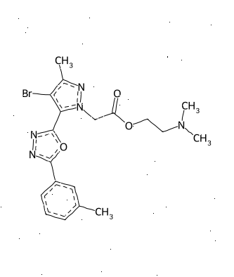 Cc1cccc(-c2nnc(-c3c(Br)c(C)nn3CC(=O)OCCN(C)C)o2)c1